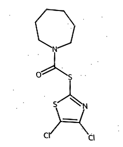 O=C(Sc1nc(Cl)c(Cl)s1)N1CCCCCC1